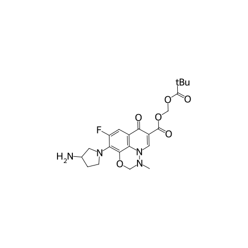 CN1COc2c(N3CCC(N)C3)c(F)cc3c(=O)c(C(=O)OCOC(=O)C(C)(C)C)cn1c23